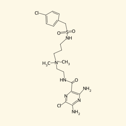 C[N+](C)(CCCNS(=O)(=O)Cc1ccc(Cl)cc1)CCNC(=O)c1nc(Cl)c(N)nc1N